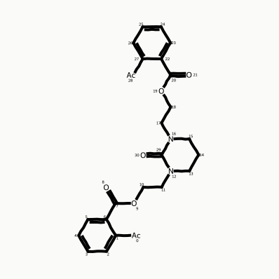 CC(=O)c1ccccc1C(=O)OCCN1CCCN(CCOC(=O)c2ccccc2C(C)=O)C1=O